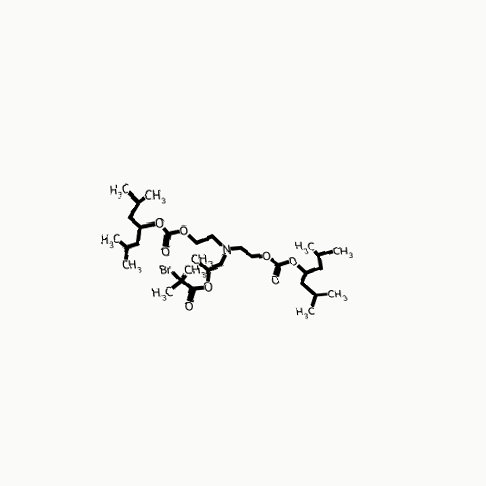 CC(C)CC(CC(C)C)OC(=O)OCCN(CCOC(=O)OC(CC(C)C)CC(C)C)CC(C)OC(=O)C(C)(C)Br